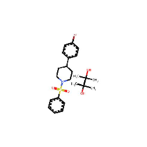 CC(C)(O)C(C)(C)O.O=S(=O)(c1ccccc1)N1CCC(c2ccc(Br)cc2)CC1